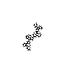 c1ccc(-n2c3ccccc3c3cc(-n4c5ccccc5c5cc(-c6ccc7c8c6ccc6cccc(c68)n7-c6ccc7c(c6)c6ccccc6n7-c6ccccc6)ccc54)ccc32)cc1